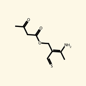 CC(=O)CC(=O)OCC(C=S)=C(C)N